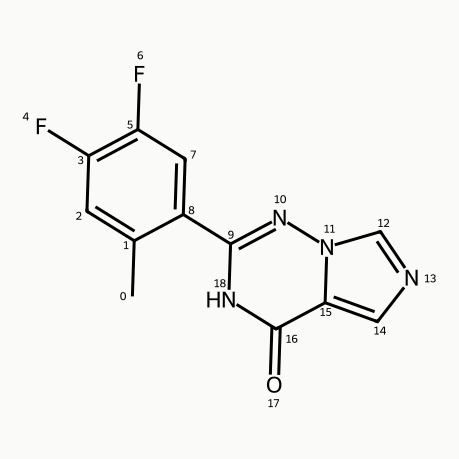 Cc1cc(F)c(F)cc1-c1nn2cncc2c(=O)[nH]1